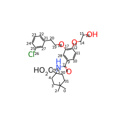 CC1(C)CCC(NC(=O)c2ccc(OCCO)c(OCCc3cccc(Cl)c3)c2)(C(=O)O)CC1